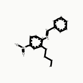 CCCCc1cc([N+](=O)[O-])ccc1N=Cc1ccccc1